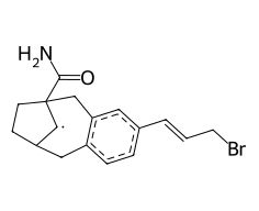 NC(=O)C12[CH]C(CC1)Cc1ccc(C=CCBr)cc1C2